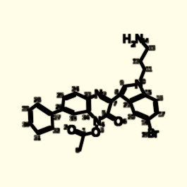 CC(=O)On1c(=O)c(-c2cn(CCCN)c3ccc(Br)cc23)nc2ccc(-c3ccccc3)cc21